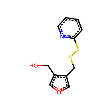 OCc1cocc1CSSc1ccccn1